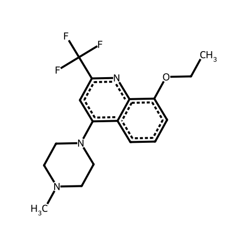 CCOc1cccc2c(N3CCN(C)CC3)cc(C(F)(F)F)nc12